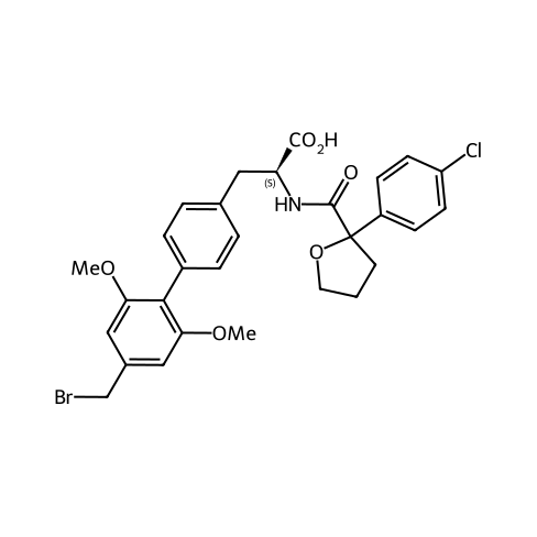 COc1cc(CBr)cc(OC)c1-c1ccc(C[C@H](NC(=O)C2(c3ccc(Cl)cc3)CCCO2)C(=O)O)cc1